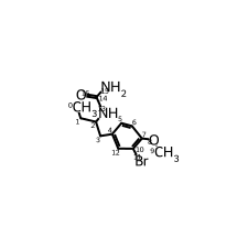 CCC(Cc1ccc(OC)c(Br)c1)NC(N)=O